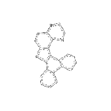 c1ccc2c(c1)c1ccccc1c1c2sc2ccc3nccnc3c21